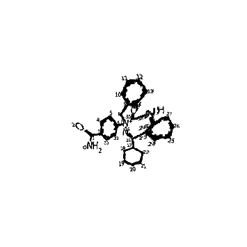 NC(=O)c1ccc([N+]2(Cc3ccccc3)N=C(C3CCCCC3)c3ccccc3NC2=O)cc1